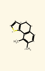 Cc1ccc2c(c1C)-c1sccc1CC2